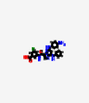 N[C@H]1CC[C@H](Nc2cc(Nc3ccccc3)c3ncc(C(=O)Nc4cc(F)cc(C(=O)O)c4)n3n2)CC1